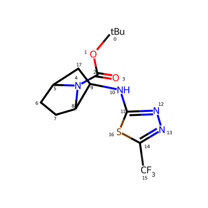 CC(C)(C)OC(=O)N1C2CCC1C(Nc1nnc(C(F)(F)F)s1)C2